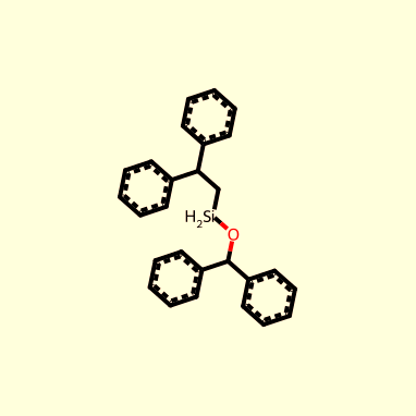 c1ccc(C(C[SiH2]OC(c2ccccc2)c2ccccc2)c2ccccc2)cc1